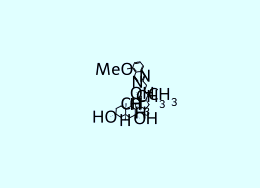 COc1cccc2nc(CC[C@@H](C)[C@H]3CC[C@H]4[C@H]5C(C[C@H](O)[C@]34C)[C@@]3(C)CC[C@@H](O)C[C@H]3C[C@H]5O)ncc12